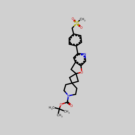 CC(C)(C)OC(=O)N1CCC2(CC1)CC1(Cc3cc(-c4ccc(CS(C)(=O)=O)cc4)ncc3O1)C2